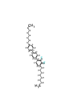 CCCCCCCCc1ccc(-c2ccc(-c3ccc(CCCCCCCC)c(F)c3F)cc2)cc1